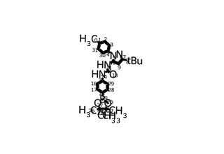 Cc1ccc(-n2nc(C(C)(C)C)cc2NC(=O)Nc2ccc(B3OC(C)(C)C(C)(C)O3)cc2)cc1